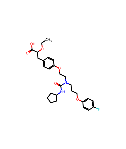 CCOC(Cc1ccc(OCCN(CCCOc2ccc(F)cc2)C(=O)NC2CCCC2)cc1)C(=O)O